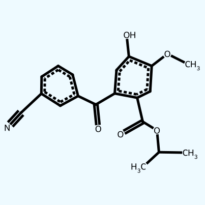 COc1cc(C(=O)OC(C)C)c(C(=O)c2cccc(C#N)c2)cc1O